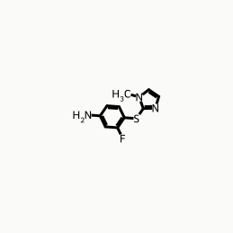 Cn1ccnc1Sc1ccc(N)cc1F